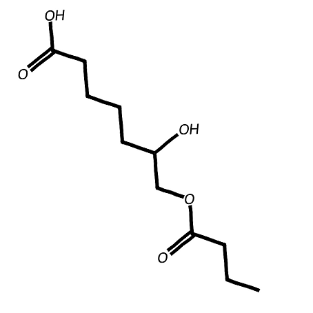 CCCC(=O)OCC(O)CCCCC(=O)O